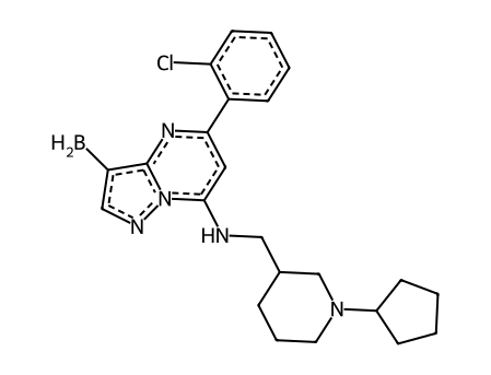 Bc1cnn2c(NCC3CCCN(C4CCCC4)C3)cc(-c3ccccc3Cl)nc12